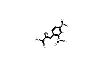 C/C(=C\c1ccc([N+](=O)[O-])cc1[N+](=O)[O-])C(=O)O